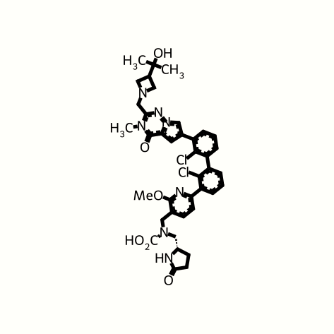 COc1nc(-c2cccc(-c3cccc(-c4cc5c(=O)n(C)c(CN6CC(C(C)(C)O)C6)nn5c4)c3Cl)c2Cl)ccc1CN(C[C@@H]1CCC(=O)N1)C(=O)O